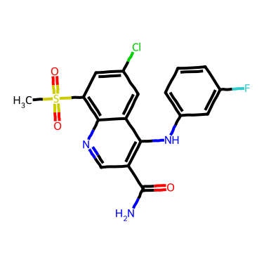 CS(=O)(=O)c1cc(Cl)cc2c(Nc3cccc(F)c3)c(C(N)=O)cnc12